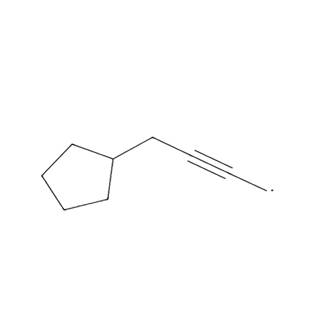 [CH2]C#CCC1CCCC1